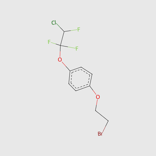 FC(Cl)C(F)(F)Oc1ccc(OCCBr)cc1